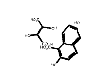 Cl.O=C(O)C(O)C(O)C(=O)O.O=C(O)c1c(O)ccc2ccccc12